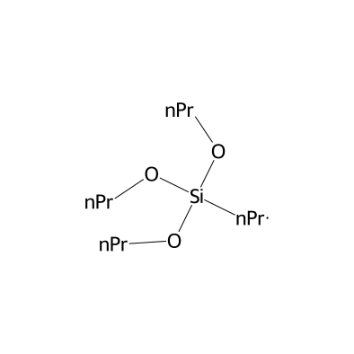 [CH2]C[CH][Si](OCCC)(OCCC)OCCC